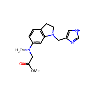 COC(=O)CN(C)c1ccc2c(c1)N(Cc1c[nH]cn1)CC2